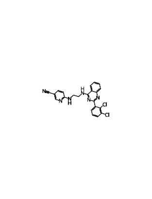 N#Cc1ccc(NCCNc2nc(-c3cccc(Cl)c3Cl)nc3ccccc23)nc1